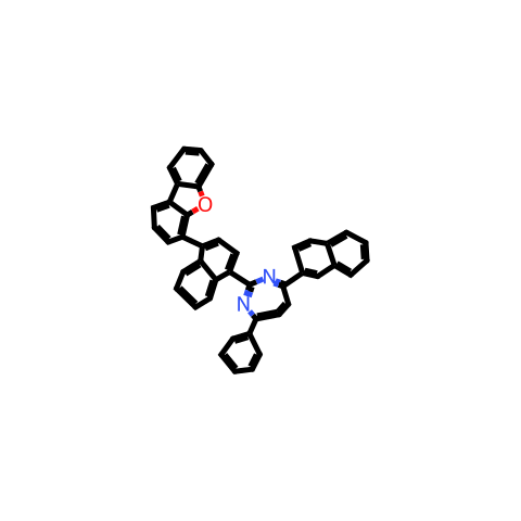 C1=CC(c2ccc3ccccc3c2)=NC(c2ccc(-c3cccc4c3oc3ccccc34)c3ccccc23)=NC=1c1ccccc1